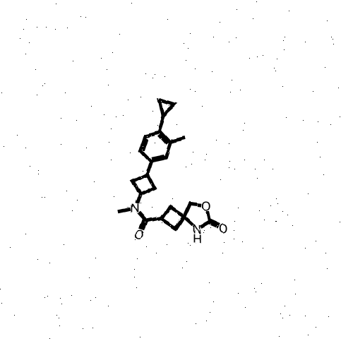 Cc1cc(C2CC(N(C)C(=O)C3CC4(COC(=O)N4)C3)C2)ccc1C1CC1